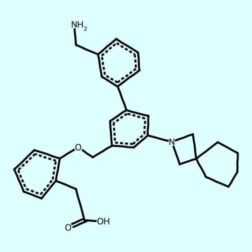 NCc1cccc(-c2cc(COc3ccccc3CC(=O)O)cc(N3CC4(CCCCC4)C3)c2)c1